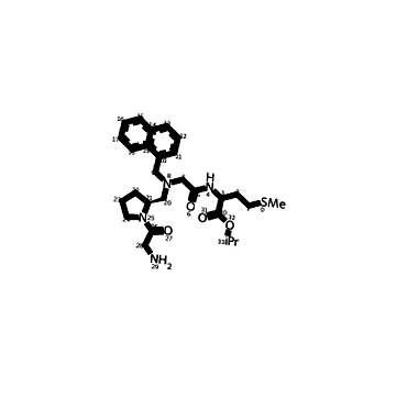 CSCCC(NC(=O)CN(Cc1cccc2ccccc12)C[C@@H]1CCCN1C(=O)CN)C(=O)OC(C)C